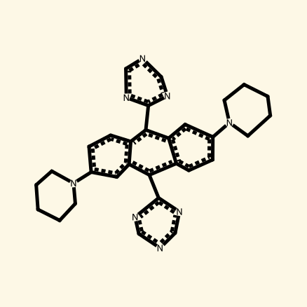 c1ncnc(-c2c3ccc(N4CCCCC4)cc3c(-c3ncncn3)c3ccc(N4CCCCC4)cc23)n1